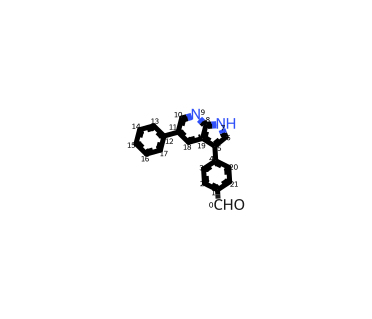 O=Cc1ccc(-c2c[nH]c3ncc(-c4ccccc4)cc23)cc1